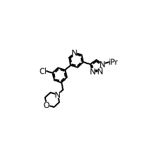 CC(C)n1cc(-c2cncc(-c3cc(Cl)cc(CN4CCOCC4)c3)c2)nn1